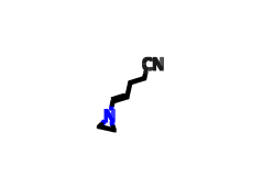 N#CCCC=CN1CC1